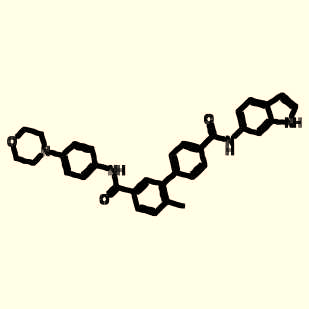 Cc1ccc(C(=O)Nc2ccc(N3CCOCC3)cc2)cc1-c1ccc(C(=O)Nc2ccc3cc[nH]c3c2)cc1